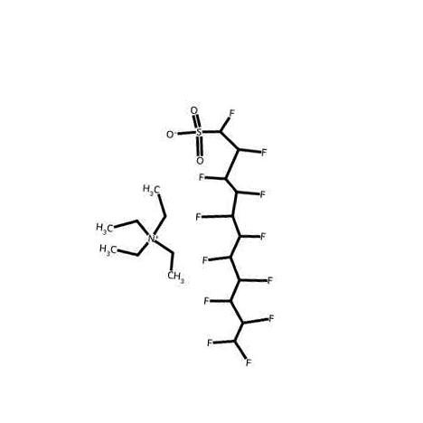 CC[N+](CC)(CC)CC.O=S(=O)([O-])C(F)C(F)C(F)C(F)C(F)C(F)C(F)C(F)C(F)C(F)C(F)F